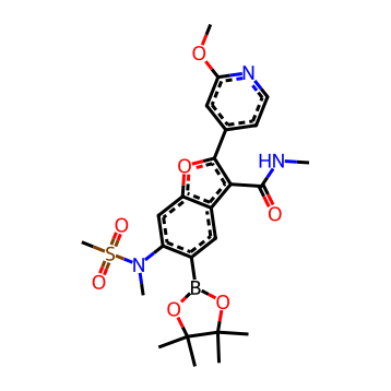 CNC(=O)c1c(-c2ccnc(OC)c2)oc2cc(N(C)S(C)(=O)=O)c(B3OC(C)(C)C(C)(C)O3)cc12